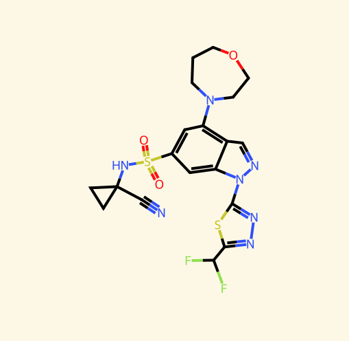 N#CC1(NS(=O)(=O)c2cc(N3CCCOCC3)c3cnn(-c4nnc(C(F)F)s4)c3c2)CC1